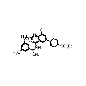 CCOC(=O)C1CC=C(c2cc(C)c3nc(C)nc(N[C@H](C)c4cc([N+](=O)[O-])cc(C(F)(F)F)c4)c3c2)CC1